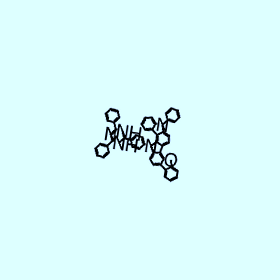 c1ccc(C2=NC(c3ccccc3)NC(c3ccc(-n4c5ccc6c7ccccc7oc6c5c5ccc6c(c7ccccc7n6-c6ccccc6)c54)cc3)N2)cc1